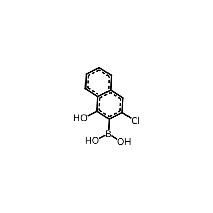 OB(O)c1c(Cl)cc2ccccc2c1O